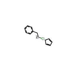 [CH]1C=CC=C1.[Cl][Zr][CH2]c1ccccc1